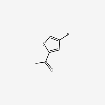 CC(=O)c1cc(F)cs1